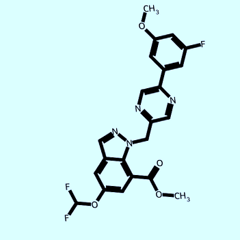 COC(=O)c1cc(OC(F)F)cc2cnn(Cc3cnc(-c4cc(F)cc(OC)c4)cn3)c12